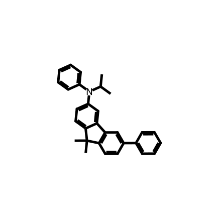 CC(C)N(c1ccccc1)c1ccc2c(c1)-c1cc(-c3ccccc3)ccc1C2(C)C